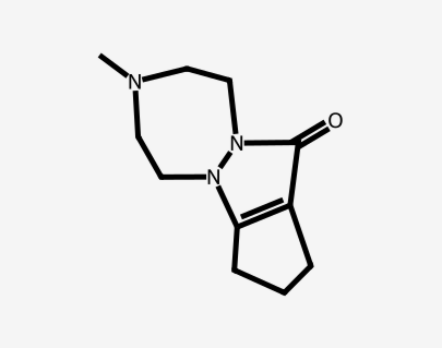 CN1CCn2c3c(c(=O)n2CC1)CCC3